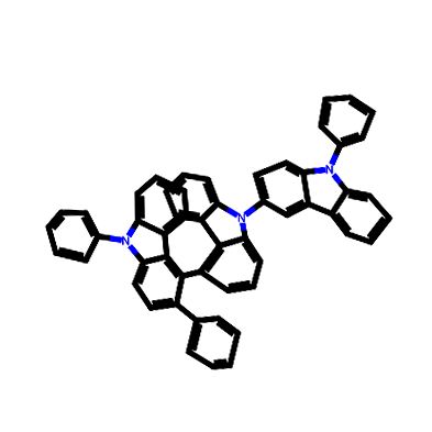 c1ccc(-c2ccc3c(c2-c2cccc4c2c2ccccc2n4-c2ccc4c(c2)c2ccccc2n4-c2ccccc2)c2ccccc2n3-c2ccccc2)cc1